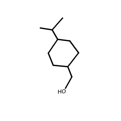 CC(C)C1CCC(CO)CC1